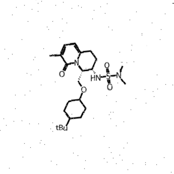 Cc1ccc2n(c1=O)[C@@H](COC1CCC(C(C)(C)C)CC1)[C@@H](NS(=O)(=O)N(C)C)CC2